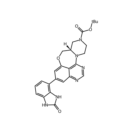 CC(C)(C)OC(=O)N1CCN2c3ncnc4cc(-c5cccc6[nH]c(=O)[nH]c56)cc(c34)OC[C@@H]2C1